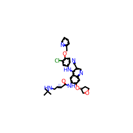 CC(C)(C)NC/C=C/C(=O)Nc1cc2c(Nc3ccc(OCc4ccccn4)c(Cl)c3)c(C#N)cnc2cc1O[C@H]1CCOC1